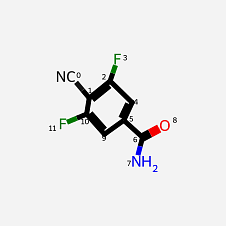 N#Cc1c(F)cc(C(N)=O)cc1F